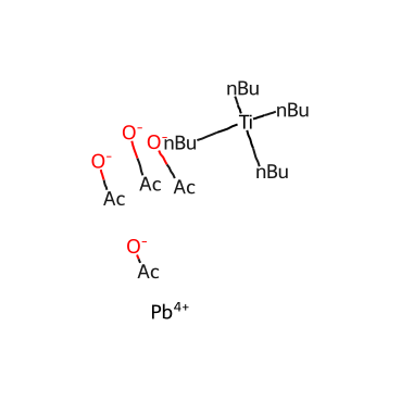 CC(=O)[O-].CC(=O)[O-].CC(=O)[O-].CC(=O)[O-].CCC[CH2][Ti]([CH2]CCC)([CH2]CCC)[CH2]CCC.[Pb+4]